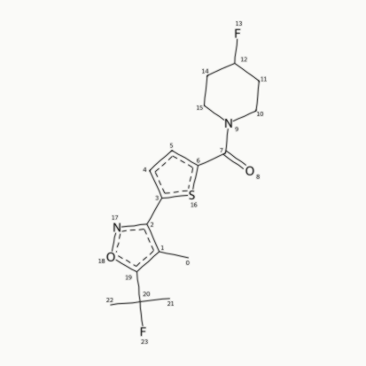 Cc1c(-c2ccc(C(=O)N3CCC(F)CC3)s2)noc1C(C)(C)F